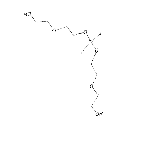 OCCOCCO[Te](I)(I)OCCOCCO